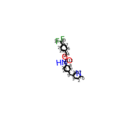 Cc1ccc(Cc2ccc(NC(=O)OCc3ccc(C(F)F)cc3)cc2)cn1